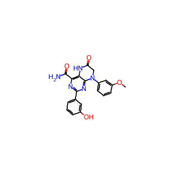 COc1cccc(N2CC(=O)Nc3c(C(N)=O)nc(-c4cccc(O)c4)nc32)c1